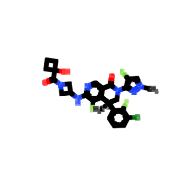 Cn1cc(F)c(N2C[C@](C)(c3cccc(Cl)c3F)c3c(cnc(NC4CN(C(=O)C5(O)CCC5)C4)c3F)C2=O)n1